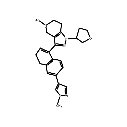 CC(=O)N1CCc2c(c(C3=CCCc4cc(-c5cnn(C)c5)ccc43)nn2C2CCOC2)C1